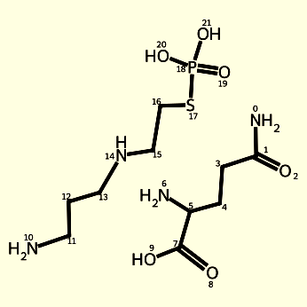 NC(=O)CCC(N)C(=O)O.NCCCNCCSP(=O)(O)O